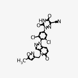 Cc1cc(Cn2c(=O)ccc3c2cnn3-c2c(Cl)cc(-n3nc(C#N)c(=O)[nH]c3=O)cc2Cl)no1